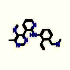 C=Cc1c(/C=N\C)cccc1Nc1ncccc1-c1ncnc(C)c1N=C